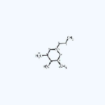 CCCN1C[C@@H](C)C(C)[C@@H](C)C1